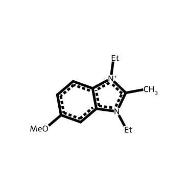 CCn1c(C)[n+](CC)c2ccc(OC)cc21